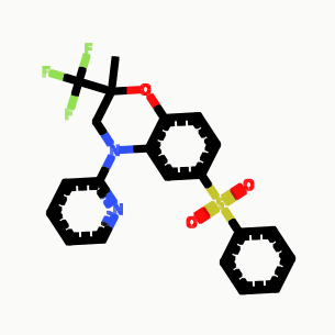 CC1(C(F)(F)F)CN(c2ccccn2)c2cc(S(=O)(=O)c3ccccc3)ccc2O1